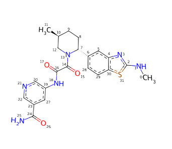 CNc1nc2cc([C@H]3CC[C@H](C)CN3C(=O)C(=O)Nc3cncc(C(N)=O)c3)ccc2s1